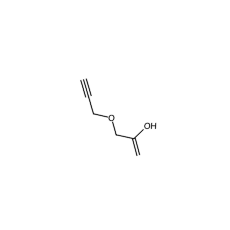 C#CCOCC(=C)O